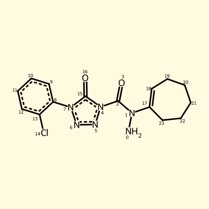 NN(C(=O)n1nnn(-c2ccccc2Cl)c1=O)C1=CCCCCC1